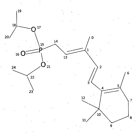 CC(C=CC1=C(C)CCCC1(C)C)=CCP(=O)(OC(C)C)OC(C)C